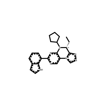 CC[C@@H]1c2nncn2-c2cnc(-c3cccc4cc[nH]c34)nc2N1C1CCCC1